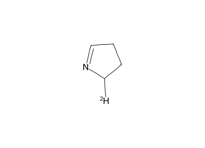 [2H]C1CCC=N1